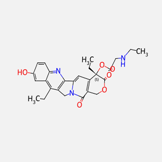 CCNCC(=O)O[C@]1(CC)C(=O)OCc2c1cc1n(c2=O)Cc2c-1nc1ccc(O)cc1c2CC